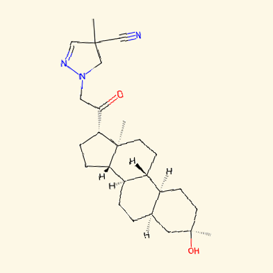 CC1(C#N)C=NN(CC(=O)[C@H]2CC[C@H]3[C@@H]4CC[C@@H]5C[C@](C)(O)CC[C@@H]5[C@H]4CC[C@]23C)C1